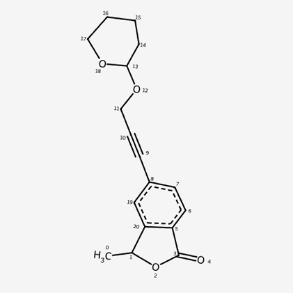 CC1OC(=O)c2ccc(C#CCOC3CCCCO3)cc21